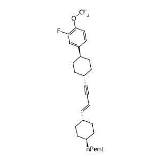 CCCCC[C@H]1CC[C@H](/C=C/C#C[C@H]2CC[C@H](c3ccc(OC(F)(F)F)c(F)c3)CC2)CC1